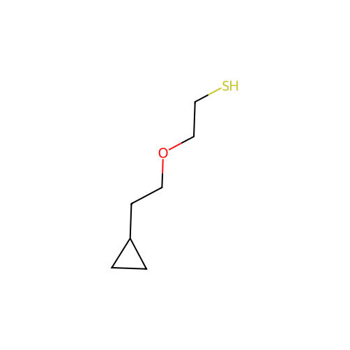 SCCOCCC1CC1